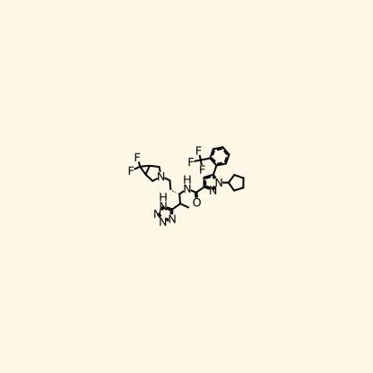 CC(c1nnn[nH]1)[C@H](CCN1CC2C(C1)C2(F)F)NC(=O)c1cc(-c2ccccc2C(F)(F)F)n(C2CCCC2)n1